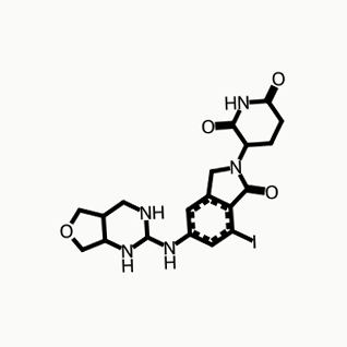 O=C1CCC(N2Cc3cc(NC4NCC5COCC5N4)cc(I)c3C2=O)C(=O)N1